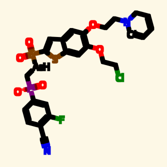 N#Cc1ccc(P(=O)([O-])C[AsH]S(=O)(=O)c2cc3cc(OCCN4[C+]=CC=CC4)c(OCCCl)cc3s2)cc1F